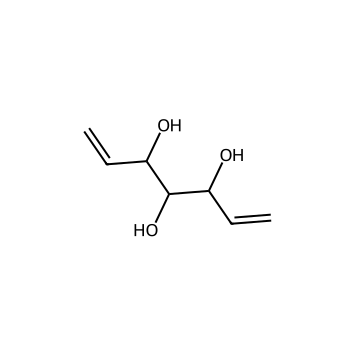 C=CC(O)C(O)C(O)C=C